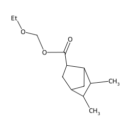 CCOCOC(=O)C1CC2CC1C(C)C2C